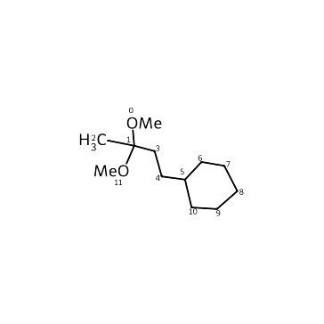 COC(C)(CCC1CCCCC1)OC